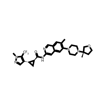 Cc1cc2cnc(NC(=O)[C@H]3C[C@@H]3c3cnn(C)c3C(F)(F)F)cc2cc1N1CCN([C@@]2(C)CCOC2)CC1